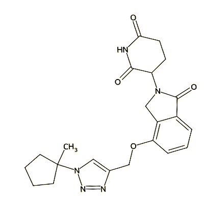 CC1(n2cc(COc3cccc4c3CN(C3CCC(=O)NC3=O)C4=O)nn2)CCCC1